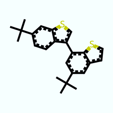 CC(C)(C)c1cc(-c2csc3cc(C(C)(C)C)ccc23)c2sccc2c1